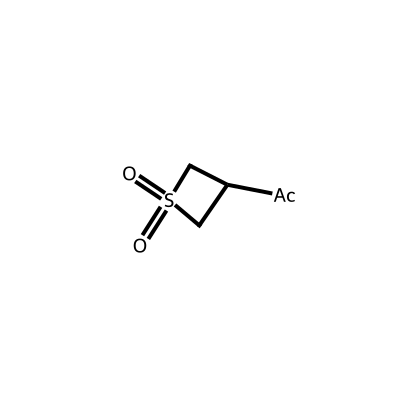 CC(=O)C1CS(=O)(=O)C1